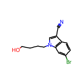 N#Cc1cn(CCCCO)c2cc(Br)ccc12